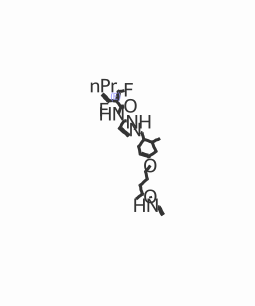 C=CNOC(C)CCCOC1=CCC(CN2C=CC(NC(=O)/C(C(=C)F)=C(\F)CCC)N2)C(C)C1